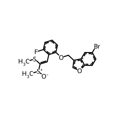 CSC(=Cc1c(F)cccc1OCc1coc2ccc(Br)cc12)[S+](C)[O-]